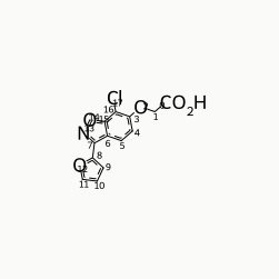 O=C(O)COc1ccc2c(-c3ccco3)noc2c1Cl